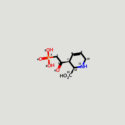 O=C(CP(=O)(O)O)[C@H]1C=CCN[C@H]1C(=O)O